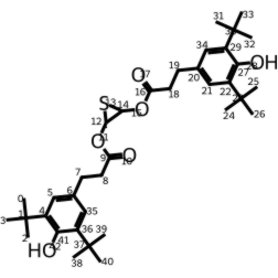 CC(C)(C)c1cc(CCC(=O)O[C]2SC2OC(=O)CCc2cc(C(C)(C)C)c(O)c(C(C)(C)C)c2)cc(C(C)(C)C)c1O